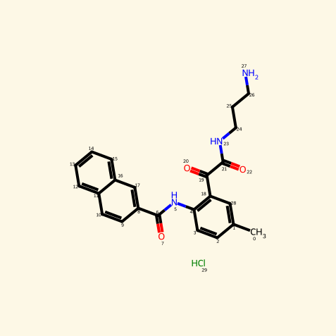 Cc1ccc(NC(=O)c2ccc3ccccc3c2)c(C(=O)C(=O)NCCCN)c1.Cl